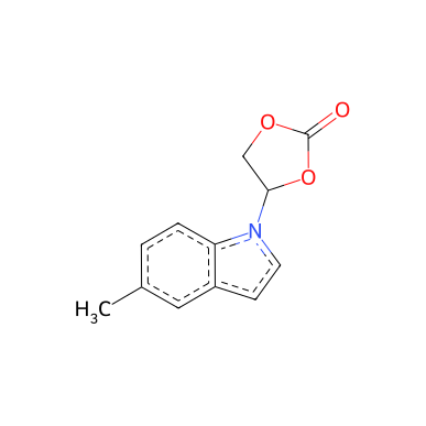 Cc1ccc2c(ccn2C2COC(=O)O2)c1